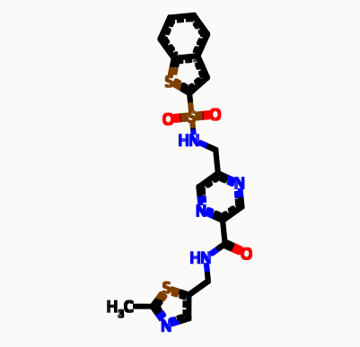 Cc1ncc(CNC(=O)c2cnc(CNS(=O)(=O)c3cc4ccccc4s3)cn2)s1